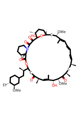 CC[C@@H]1CCC(C[C@@H](C)C2CC(=O)[C@H](C)/C=C(\C)[C@@H](O)[C@@H](OC)C(=O)[C@H](C)C[C@H](C)/C=C/C=C/C=C(\C)[C@@H](OC)C[C@@H]3CC[C@@H](C)[C@@](O)(O3)C(=O)C(=O)N3CCCC[C@H]3C(=O)O2)C[C@H]1OC